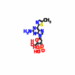 Cc1cnc(-c2nc(N)nc3c2ncn3[C@H]2C[C@H](OP(=O)(O)O)[C@@H](CO)O2)s1